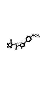 COc1ccc(-c2csc(C(=O)Nc3nnn[nH]3)n2)cc1